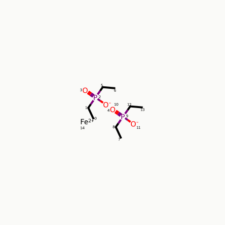 CCP(=O)([O-])CC.CCP(=O)([O-])CC.[Fe+2]